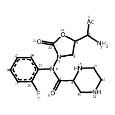 CC(=O)C(N)C1CN(N(C(=O)C2CNCCN2)c2ccccc2F)C(=O)O1